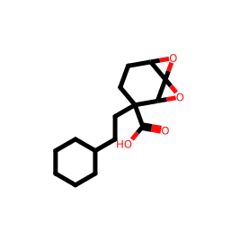 O=C(O)C1(CCC2CCCCC2)CCC2OC23OC13